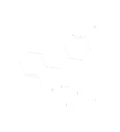 CC(C)c1ccc(Oc2ccccc2C(=O)O)cc1.O=P(O)(O)O